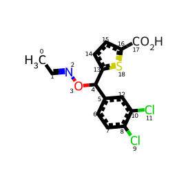 CC=NOC(c1ccc(Cl)c(Cl)c1)c1ccc(C(=O)O)s1